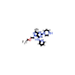 CC(C)c1nn(CCOCC(F)(F)F)c2c(Nc3ccccn3)nc(N3CCCNCC3)nc12